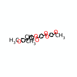 COc1ccc(C(C)(C)c2ccc(OC(=O)c3ccc(C(=O)Oc4ccc(C(C)=O)cc4)cc3)cc2)cc1